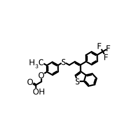 Cc1cc(SC/C=C(/c2ccc(C(F)(F)F)cc2)c2csc3ccccc23)ccc1OCC(=O)O